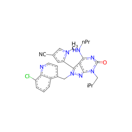 CCCNc1nc(=O)n(CC(C)C)c2nn(Cc3ccnc4c(Cl)cccc34)c(-c3cc(C#N)cn3C)c12